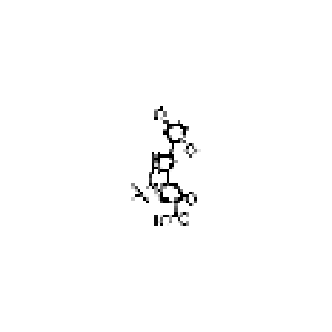 COc1ccc(OC)c(-c2cc3n(n2)C[C@@H](C(C)(C)C)n2cc(C(=O)O)c(=O)cc2-3)c1